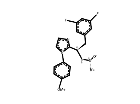 COc1ccc(-n2ccnc2[C@@H](Cc2cc(F)cc(F)c2)N[S@+]([O-])C(C)(C)C)cc1